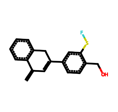 C=C1C=C(c2ccc(CO)c(SF)c2)Cc2ccccc21